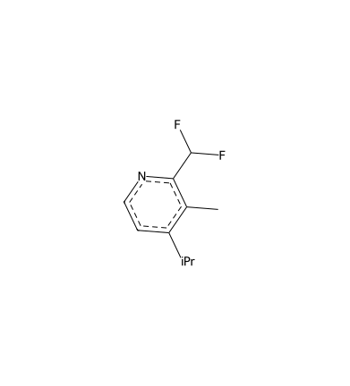 Cc1c(C(C)C)ccnc1C(F)F